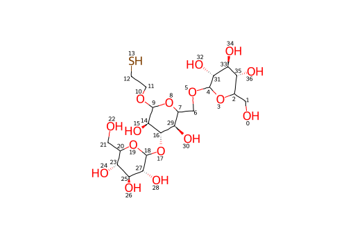 OCC1OC(OCC2OC(OCCS)[C@H](O)[C@@H](OC3OC(CO)[C@@H](O)[C@H](O)[C@H]3O)[C@@H]2O)[C@H](O)[C@@H](O)[C@@H]1O